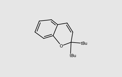 CC(C)(C)C1(C(C)(C)C)C=Cc2ccccc2O1